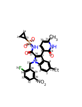 CCc1ccc2c(c1)c(-c1ccc(C)[nH]c1=O)c(C(=O)NS(=O)(=O)C1CC1)n2Cc1cc([N+](=O)[O-])ccc1F